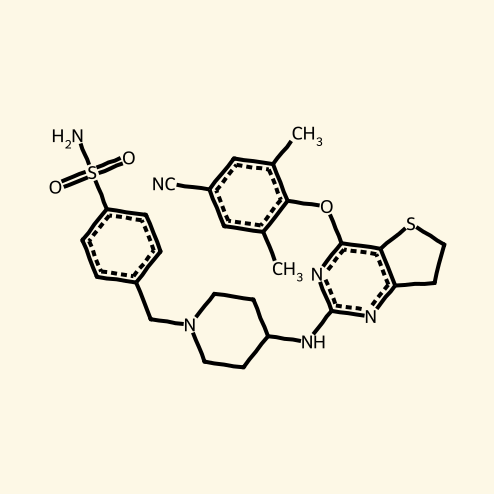 Cc1cc(C#N)cc(C)c1Oc1nc(NC2CCN(Cc3ccc(S(N)(=O)=O)cc3)CC2)nc2c1SCC2